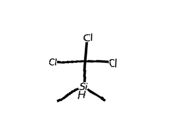 C[SiH](C)C(Cl)(Cl)Cl